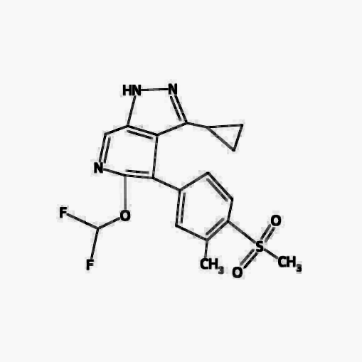 Cc1cc(-c2c(OC(F)F)ncc3[nH]nc(C4CC4)c23)ccc1S(C)(=O)=O